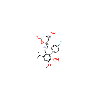 COc1cc(C(C)C)c(/C=C/[C@@H]2C[C@@H](O)CC(=O)O2)c(-c2ccc(F)cc2)c1O